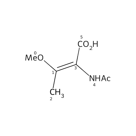 COC(C)=C(NC(C)=O)C(=O)O